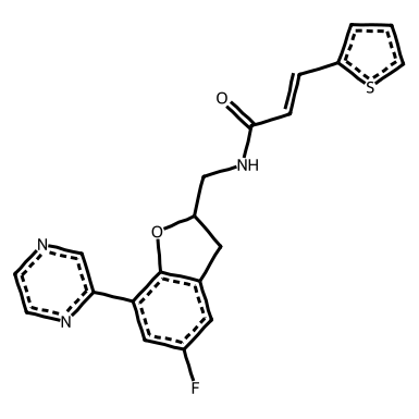 O=C(/C=C/c1cccs1)NCC1Cc2cc(F)cc(-c3cnccn3)c2O1